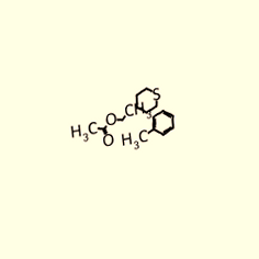 C1CCSCC1.CCOC(C)=O.Cc1ccccc1